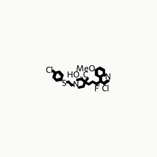 COc1ccc2ncc(Cl)c([C@@H](F)CCC3(CC(=O)O)CCN(CCSc4ccc(Cl)cc4)CC3)c2c1